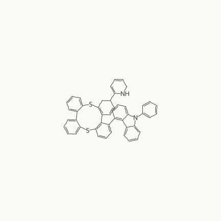 C1=CCNC(C2C=CC3=C(C2)Sc2ccccc2-c2ccccc2Sc2cccc(-c4cccc5c4c4ccccc4n5-c4ccccc4)c23)=C1